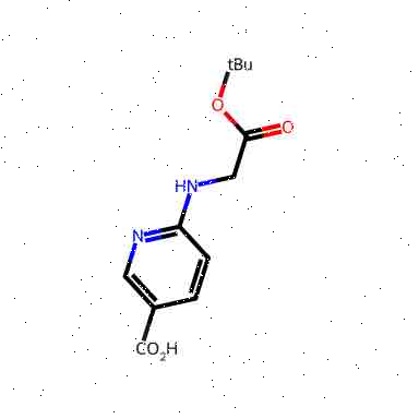 CC(C)(C)OC(=O)CNc1ccc(C(=O)O)cn1